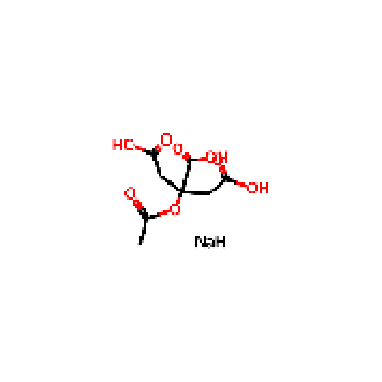 CC(=O)OC(CC(=O)O)(CC(=O)O)C(=O)O.[NaH]